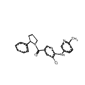 Cc1ccc(Nc2ncc(C(=O)N3CCCC3c3ccccc3)cc2Cl)cn1